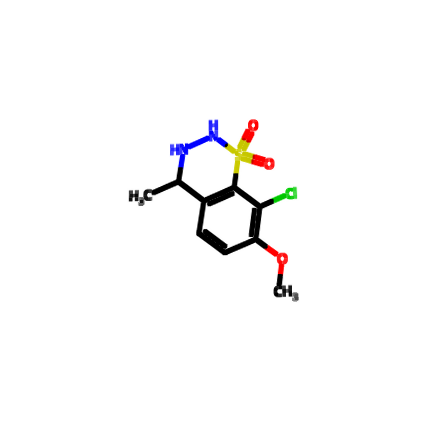 COc1ccc2c(c1Cl)S(=O)(=O)NNC2C